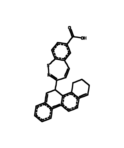 O=C(O)c1ccc2c(c1)C=CC(C1C=c3ccccc3=c3ccc4c(c31)CCCC=4)=NS2